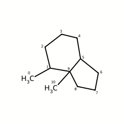 CC1CCCC2CCCC12C